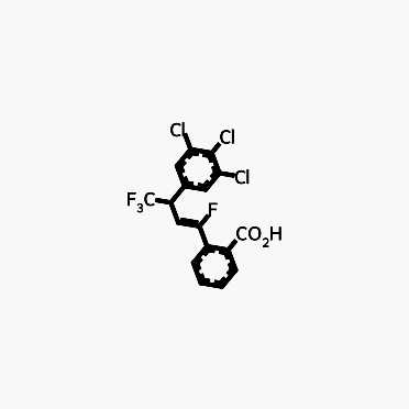 O=C(O)c1ccccc1C(F)=CC(c1cc(Cl)c(Cl)c(Cl)c1)C(F)(F)F